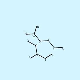 CCC(C)CC.CCCCC(C)C